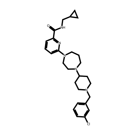 O=C(NCC1CC1)c1cccc(N2CCCN(C3CCN(Cc4cccc(Cl)c4)CC3)CC2)n1